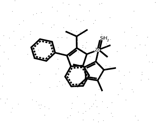 CC1=C(C)C(C)[C]([Zr]([CH3])([CH3])(=[SiH2])[CH]2C(C(C)C)=C(c3ccccc3)c3ccccc32)=C1C